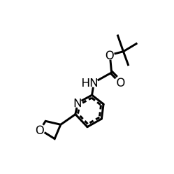 CC(C)(C)OC(=O)Nc1cccc(C2COC2)n1